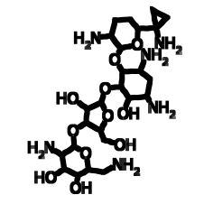 NCC1OC(OC2C(CO)OC(OC3C(O)C(N)CC(N)C3OC3OC(C4(N)CC4)CCC3N)C2O)C(N)C(O)C1O